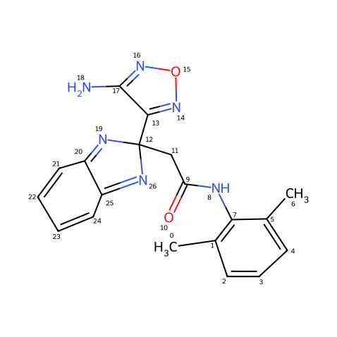 Cc1cccc(C)c1NC(=O)CC1(c2nonc2N)N=c2ccccc2=N1